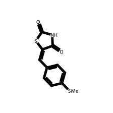 CSc1ccc(C=C2SC(=O)NC2=O)cc1